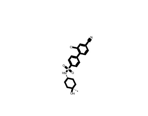 C[C@]1(O)CC[C@H](NS(=O)(=O)c2ccc(-c3ccc(C#N)cc3Cl)cc2)CC1